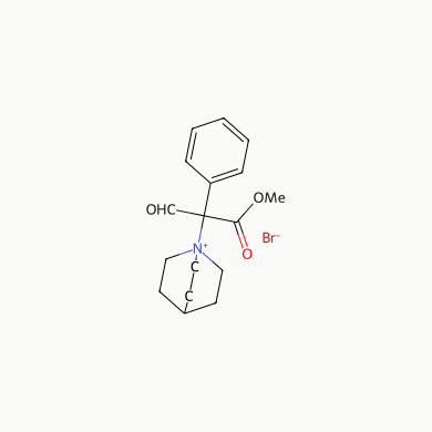 COC(=O)C(C=O)(c1ccccc1)[N+]12CCC(CC1)CC2.[Br-]